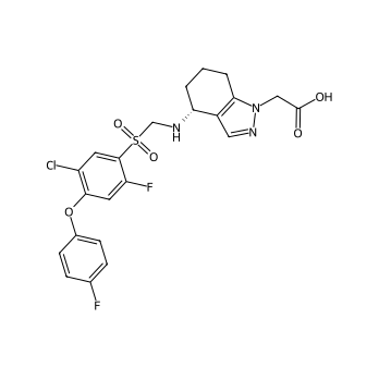 O=C(O)Cn1ncc2c1CCC[C@H]2NCS(=O)(=O)c1cc(Cl)c(Oc2ccc(F)cc2)cc1F